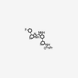 CCCC(=O)Nc1cncc(-c2ccc3[nH]nc(-c4nc5c(-c6cccc(F)c6)cncc5[nH]4)c3c2)c1